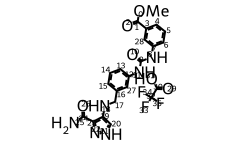 COC(=O)c1cccc(NC(=O)Nc2cccc(CNc3c[nH]nc3C(N)=O)c2)c1.O=C(O)C(F)(F)F